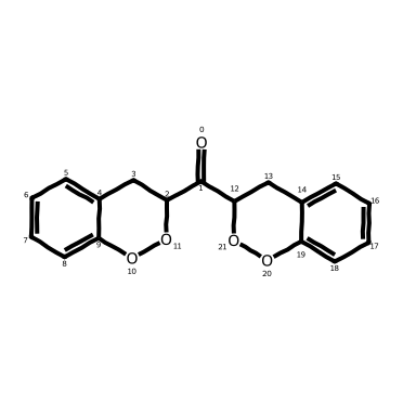 O=C(C1Cc2ccccc2OO1)C1Cc2ccccc2OO1